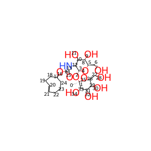 C[C@]1(O[C@H]2O[C@H](CO)C(O)C(O)C2NC(=O)OC2CC/C=C/CCC2)OC(CO)[C@@H](O)C(O)[C@@H]1O